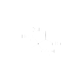 CCCCC(C)C(C)(C(=O)O)C(=O)O.[BaH2]